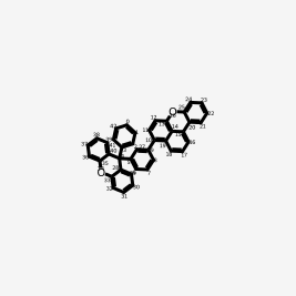 c1ccc(C2(c3cccc(-c4ccc5c6c(cccc46)-c4ccccc4O5)c3)c3ccccc3Oc3ccccc32)cc1